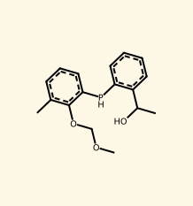 COCOc1c(C)cccc1Pc1ccccc1C(C)O